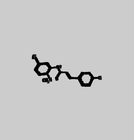 O=C(C=Cc1ccc(Cl)cc1)Nc1cc(Cl)ccc1C(=O)O